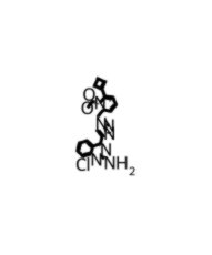 Nc1nc(-c2cn(Cc3cccc(C4=CCC4)[n+]3C(=O)[O-])nn2)c2cccc(Cl)c2n1